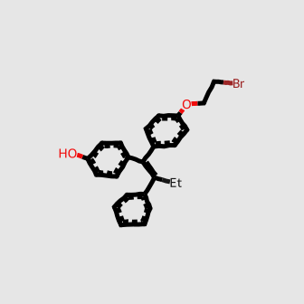 CCC(=C(c1ccc(O)cc1)c1ccc(OCCBr)cc1)c1ccccc1